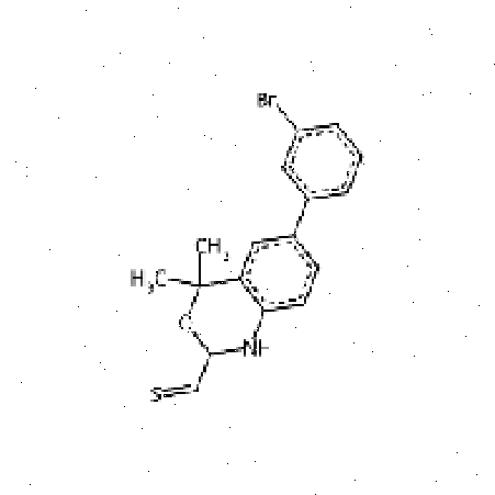 CC1(C)OC(C=S)Nc2ccc(-c3cccc(Br)c3)cc21